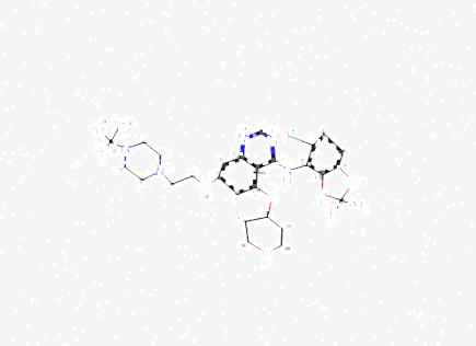 [2H]C1([2H])Oc2ccc(Cl)c(Nc3ncnc4cc(OCCN5CCN(C([2H])([2H])[2H])CC5)cc(OC5CCOCC5)c34)c2O1